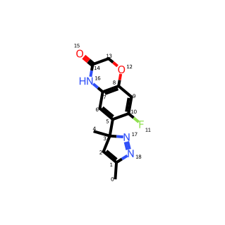 CC1=CC(C)(c2cc3c(cc2F)OCC(=O)N3)N=N1